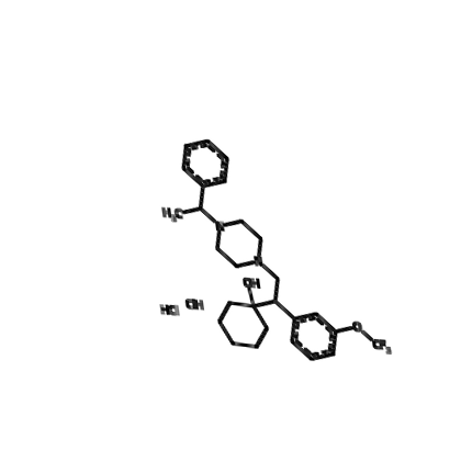 CC(c1ccccc1)N1CCN(CC(c2cccc(OC(F)(F)F)c2)C2(O)CCCCC2)CC1.Cl.Cl